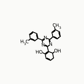 Cc1cccc(-c2nc(C3=C(O)C=CCC3O)nc(-c3cccc(C)c3)n2)c1